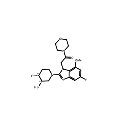 COc1cc(F)cc2nc(N3CC[C@@H](F)[C@H](N)C3)n(CC(=O)N3CCOCC3)c12